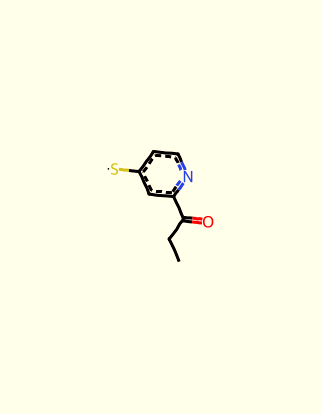 CCC(=O)c1cc([S])ccn1